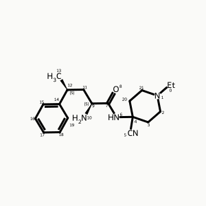 CCN1CCC(C#N)(NC(=O)[C@@H](N)C[C@H](C)c2ccccc2)CC1